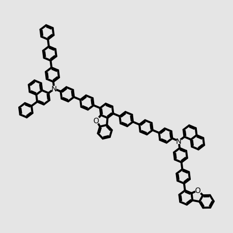 c1ccc(-c2ccc(-c3ccc(N(c4ccc(-c5ccc(-c6ccc(-c7ccc(-c8ccc(-c9ccc(N(c%10ccc(-c%11ccc(-c%12cccc%13c%12oc%12ccccc%12%13)cc%11)cc%10)c%10cccc%11ccccc%10%11)cc9)cc8)cc7)c7c6oc6ccccc67)cc5)cc4)c4ccc(-c5ccccc5)c5ccccc45)cc3)cc2)cc1